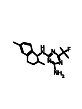 Cc1ccc2c(c1)CCC(C)C2Nc1nc(N)nc(C(C)(C)F)n1